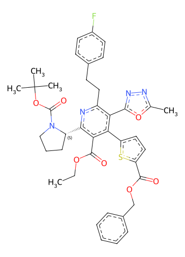 CCOC(=O)c1c([C@@H]2CCCN2C(=O)OC(C)(C)C)nc(CCc2ccc(F)cc2)c(-c2nnc(C)o2)c1-c1ccc(C(=O)OCc2ccccc2)s1